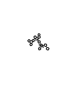 c1ccc(-c2cccc(-c3cc(-c4ccc(-c5nc6c(-c7ccc8c9ccccc9c9ccccc9c8c7)cccc6c6c5ccc5ccccc56)cc4)nc(-c4ccccc4)n3)c2)cc1